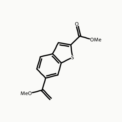 C=C(OC)c1ccc2cc(C(=O)OC)sc2c1